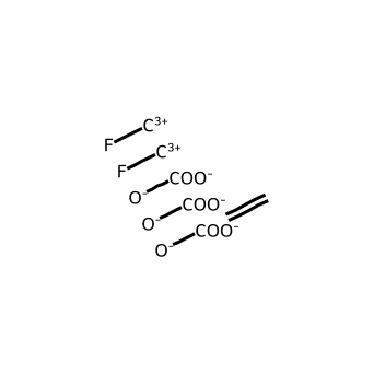 C=C.O=C([O-])[O-].O=C([O-])[O-].O=C([O-])[O-].[C+3]F.[C+3]F